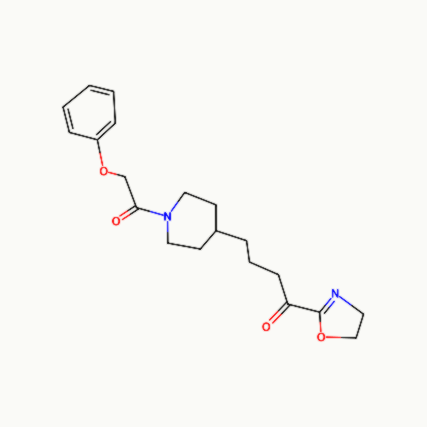 O=C(CCCC1CCN(C(=O)COc2ccccc2)CC1)C1=NCCO1